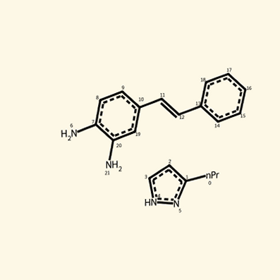 CCCc1cc[nH]n1.Nc1ccc(C=Cc2ccccc2)cc1N